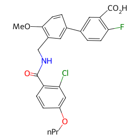 CCCOc1ccc(C(=O)NCc2cc(-c3ccc(F)c(C(=O)O)c3)ccc2OC)c(Cl)c1